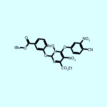 CCOC(=O)C1=NC(Oc2cccc(C(=O)OC(C)(C)C)c2)N(OC)C(Oc2ccc(C#N)c([N+](=O)[O-])c2)=C1[N+](=O)[O-]